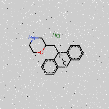 Cl.c1ccc2c(c1)C1CCC2(CC2CNCCO2)c2ccccc21